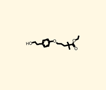 CCOC(=O)C(C)(C)CCCOc1ccc(CCO)cc1